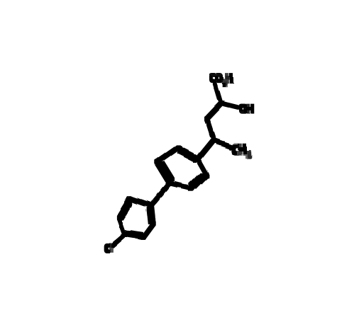 CC(CC(O)C(=O)O)c1ccc(-c2ccc(Cl)cc2)cc1